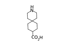 O=C(O)C1CCC2(CCNCC2)CC1